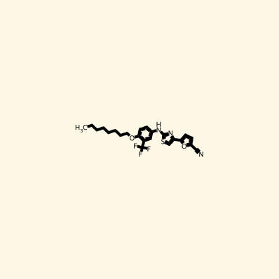 CCCCCCCCOc1ccc(Nc2nc(-c3ccc(C#N)o3)cs2)cc1C(F)(F)F